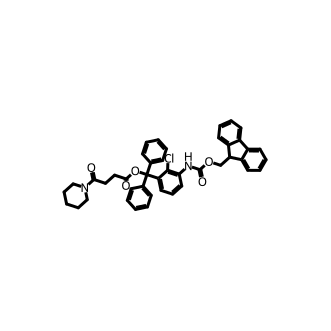 O=C(CCC(=O)N1CCCCC1)OC(c1ccccc1)(c1ccccc1)c1cccc(NC(=O)OCC2c3ccccc3-c3ccccc32)c1Cl